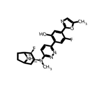 Cc1cnc(-c2cc(O)c(-c3ccc(N(C)[C@H]4CC5CCC(N5)[C@H]4F)nn3)cc2F)o1